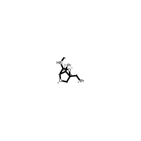 CBC1OC2(CC(C)C)COC1C2C(C)C